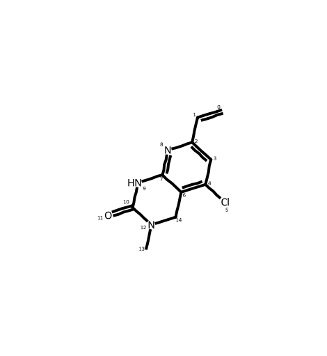 C=Cc1cc(Cl)c2c(n1)NC(=O)N(C)C2